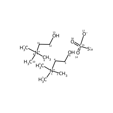 C[N+](C)(C)CCO.C[N+](C)(C)CCO.O=S(=O)([O-])[S-]